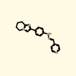 C(=NNc1ccc(-c2cn3c(n2)CCCC3)cc1)c1ccncc1